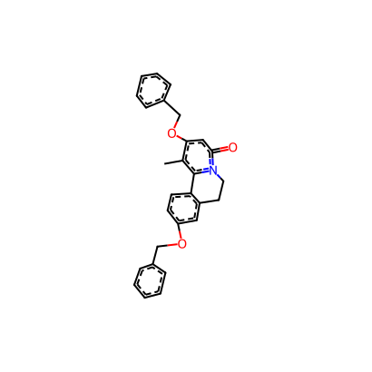 Cc1c(OCc2ccccc2)cc(=O)n2c1-c1ccc(OCc3ccccc3)cc1CC2